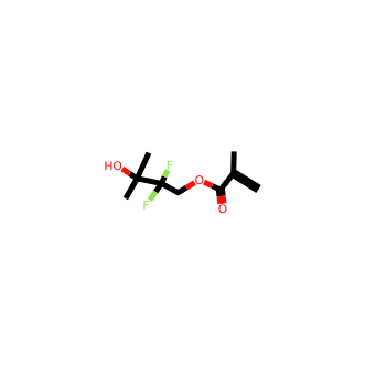 C=C(C)C(=O)OCC(F)(F)C(C)(C)O